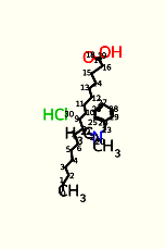 CCCCCCCCCCCCCCCCCC(=O)O.CN(C)Cc1ccccc1.Cl